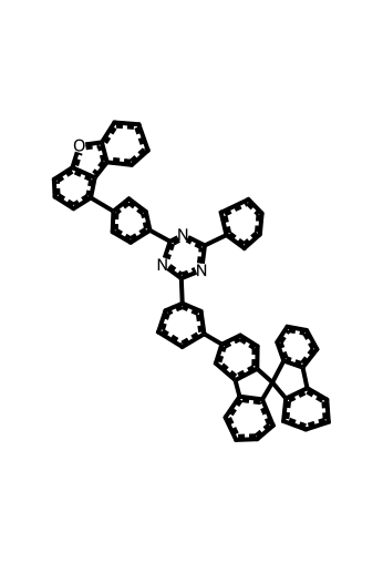 c1ccc(-c2nc(-c3ccc(-c4cccc5oc6ccccc6c45)cc3)nc(-c3cccc(-c4ccc5c(c4)-c4ccccc4C54c5ccccc5-c5ccccc54)c3)n2)cc1